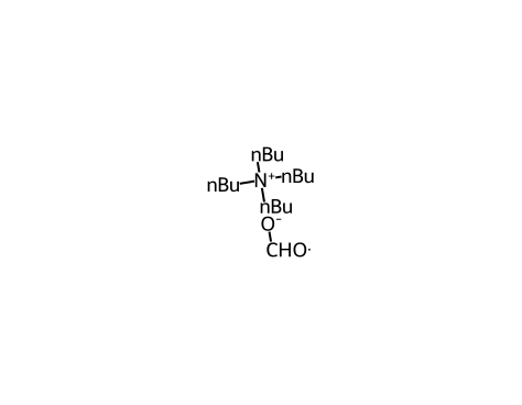 CCCC[N+](CCCC)(CCCC)CCCC.O=[C][O-]